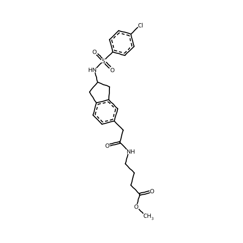 COC(=O)CCCNC(=O)Cc1ccc2c(c1)CC(NS(=O)(=O)c1ccc(Cl)cc1)C2